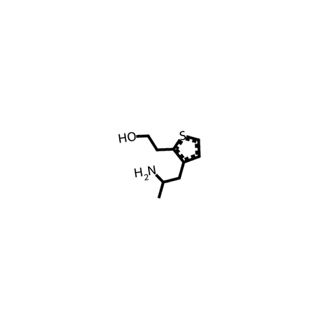 CC(N)Cc1ccsc1CCO